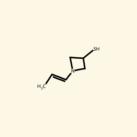 CC=CN1CC(S)C1